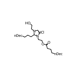 CCCCCCCCCCCCCC(=O)OCCN1CCN(CCO)C1CCCCCCCCCCCCC.Cl